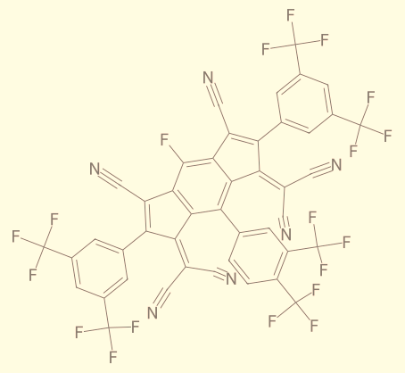 N#CC(C#N)=C1C(c2cc(C(F)(F)F)cc(C(F)(F)F)c2)=C(C#N)c2c(F)c3c(c(-c4ccc(C(F)(F)F)c(C(F)(F)F)c4)c21)C(=C(C#N)C#N)C(c1cc(C(F)(F)F)cc(C(F)(F)F)c1)=C3C#N